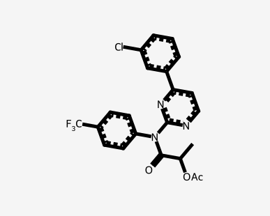 CC(=O)OC(C)C(=O)N(c1ccc(C(F)(F)F)cc1)c1nccc(-c2cccc(Cl)c2)n1